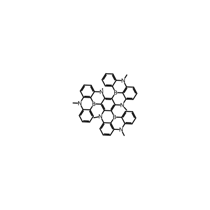 CN1c2ccccc2B2c3c1cccc3N(C)c1c3c(c4c(c12)N(C)c1cccc2c1B4c1ccccc1N2C)N(C)c1cccc2c1B3c1ccccc1N2C